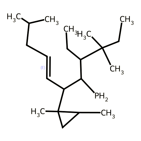 CCC(C(P)C(/C=C/CC(C)C)C1(C)CC1C)C(C)(C)CC